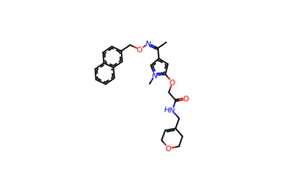 CC(=NOCc1ccc2ccccc2c1)c1cc(OCC(=O)NCC2=CCOCC2)n(C)c1